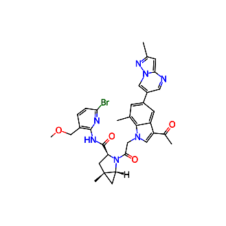 COCc1ccc(Br)nc1NC(=O)[C@@H]1C[C@@]2(C)C[C@H]2N1C(=O)Cn1cc(C(C)=O)c2cc(-c3cnc4cc(C)nn4c3)cc(C)c21